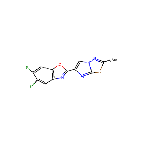 CSc1nn2cc(-c3nc4cc(F)c(F)cc4o3)nc2s1